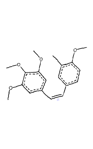 COc1ccc(/C=C\c2cc(OC)c(OC)c(OC)c2)cc1C